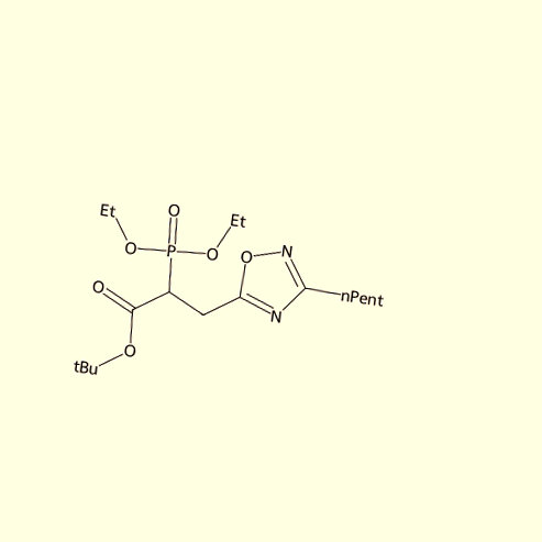 CCCCCc1noc(CC(C(=O)OC(C)(C)C)P(=O)(OCC)OCC)n1